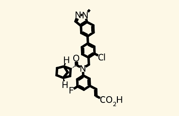 Cn1ncc2cc(-c3ccc(CN(C(=O)[C@@H]4C[C@@H]5CC[C@H]4C5)c4cc(F)cc(C=CC(=O)O)c4)c(Cl)c3)ccc21